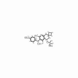 CC(C)c1nc2c(c(I)c1[C@H](O)c1ccc(C(C)(C)C)cc1)[C@@H](O[Si](C)(C)C(C)(C)C)CC1(CCC1)C2